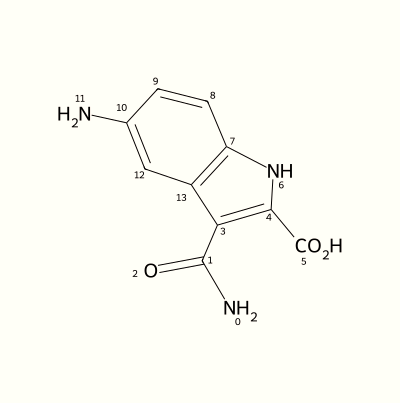 NC(=O)c1c(C(=O)O)[nH]c2ccc(N)cc12